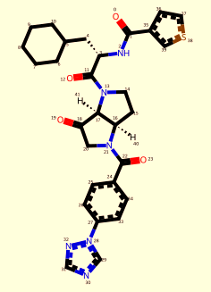 O=C(N[C@@H](CC1CCCCC1)C(=O)N1CC[C@@H]2[C@H]1C(=O)CN2C(=O)c1ccc(-n2cncn2)cc1)c1ccsc1